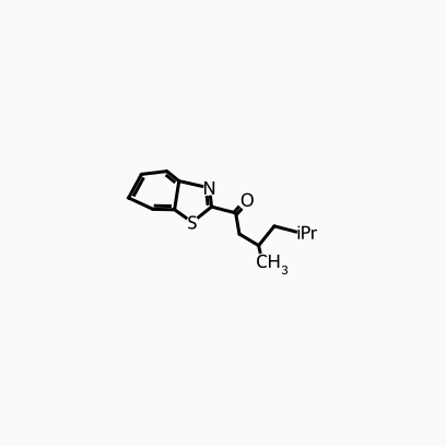 CC(C)CC(C)CC(=O)c1nc2ccccc2s1